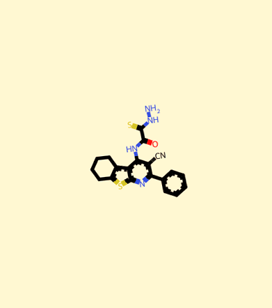 N#Cc1c(-c2ccccc2)nc2sc3c(c2c1NC(=O)C(=S)NN)CCCC3